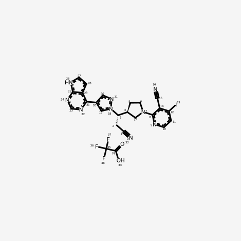 N#CC[C@@H]([C@H]1CCN(c2nccc(I)c2C#N)C1)n1cc(-c2ncnc3[nH]ccc23)cn1.O=C(O)C(F)(F)F